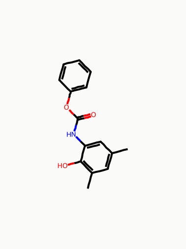 Cc1cc(C)c(O)c(NC(=O)Oc2ccccc2)c1